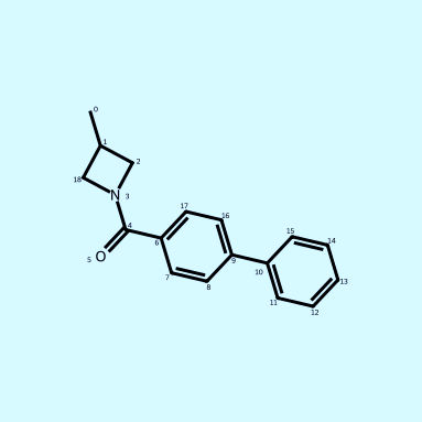 CC1CN(C(=O)c2ccc(-c3ccccc3)cc2)C1